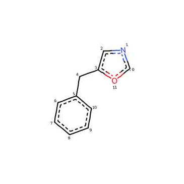 [c]1ncc(Cc2ccccc2)o1